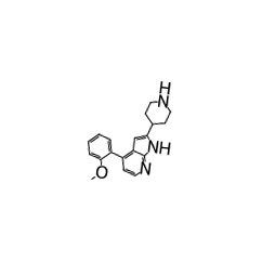 COc1ccccc1-c1ccnc2[nH]c(C3CCNCC3)cc12